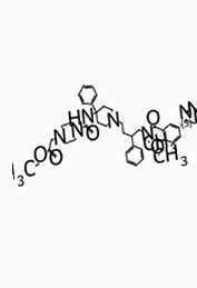 CCOC(=O)CN1CCN(C(=O)NC2(c3ccccc3)CCN(CCC(CN(C)C(=O)c3cc([C@H]4C=NN=N4)ccc3OC)c3ccccc3)CC2)CC1